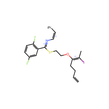 C=CCC/C(OCCS/C(=N\C=C/C(C)C)c1cc(F)ccc1F)=C(/C)I